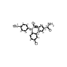 CC(C)(C)c1ccc(N(c2ccc(Cl)cc2-n2cc(C(N)=O)nn2)[SH](=O)=O)cc1